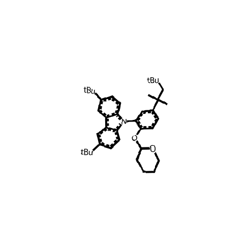 CC(C)(C)CC(C)(C)c1ccc(OC2CCCCO2)c(-n2c3ccc(C(C)(C)C)cc3c3cc(C(C)(C)C)ccc32)c1